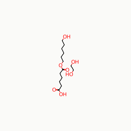 O=C(O)CCCCC(=O)OCCCCCCO.OCCO